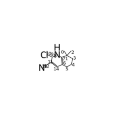 CC1(C)CCCC2=C1NC(Cl)C(C#N)=C2